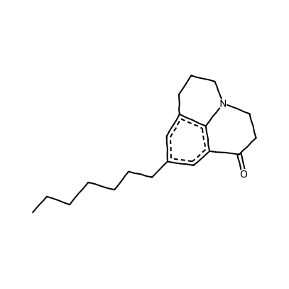 CCCCCCCc1cc2c3c(c1)C(=O)CCN3CCC2